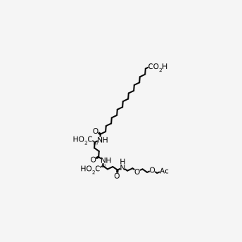 CC(=O)COCCOCCNC(=O)CC[C@H](NC(=O)CC[C@H](NC(=O)CCCCCCCCCCCCCCCCC(=O)O)C(=O)O)C(=O)O